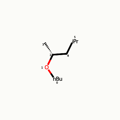 CCCCO[C@H](C)CC(C)C